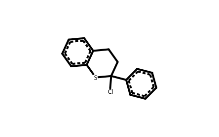 ClC1(c2ccccc2)CCc2ccccc2S1